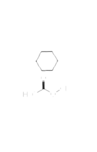 C1CCCCC1.COC(C)=O